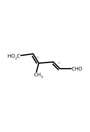 CC(/C=C/C=O)=C\C(=O)O